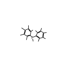 Cc1c(C)c(C)c(P(C)c2c(C)c(C)c(C)c(C)c2C)c(C)c1C